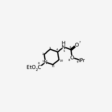 CCOC(=O)N1CCC(NC(=O)OC(C)C)CC1